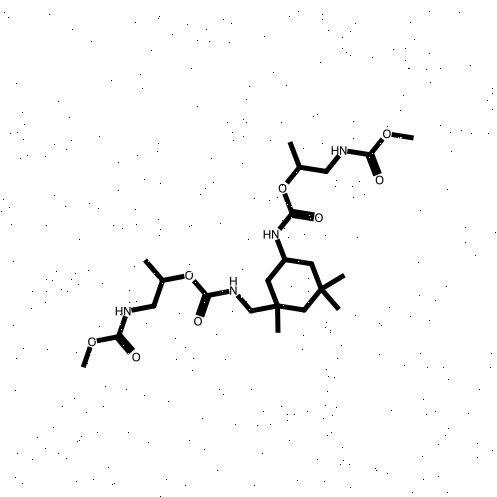 COC(=O)NCC(C)OC(=O)NCC1(C)CC(NC(=O)OC(C)CNC(=O)OC)CC(C)(C)C1